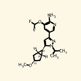 CO[C@@H]1C[C@@H]2[C@H](C1)[C@H]2c1cc(-c2cnc(N)c(OC(F)F)c2)nn1C(C)C